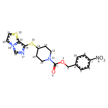 O=C(OCc1ccc([N+](=O)[O-])cc1)N1CCC(Sc2ncn3ccsc23)CC1